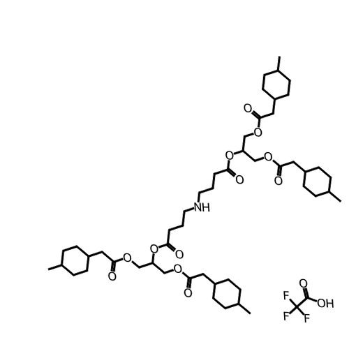 CC1CCC(CC(=O)OCC(COC(=O)CC2CCC(C)CC2)OC(=O)CCCNCCCC(=O)OC(COC(=O)CC2CCC(C)CC2)COC(=O)CC2CCC(C)CC2)CC1.O=C(O)C(F)(F)F